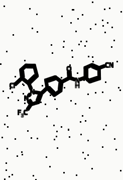 N#Cc1ccc(NC(=O)c2ccc(-c3cc(C(F)(F)F)nn3-c3ccccc3Cl)cc2)cc1